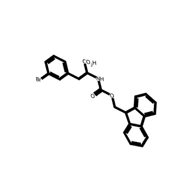 O=C(NC(Cc1cccc(Br)c1)C(=O)O)OCC1c2ccccc2-c2ccccc21